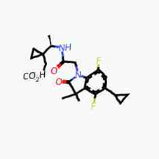 C[C@@H](NC(=O)CN1C(=O)C(C)(C)c2c(F)c(C3CC3)cc(F)c21)C1(CC(=O)O)CC1